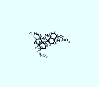 O=[N+]([O-])O[C@@H]1CO[C@H]2[C@@H]1OC[C@]2(O[N+](=O)[O-])O[C@@]1(O[N+](=O)[O-])CO[C@@H]2[C@H](O[N+](=O)[O-])CO[C@@H]21